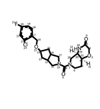 O=C1CO[C@H]2CCN(C(=O)N3CC4CC(OCc5ccc(F)cc5Cl)CC4C3)C[C@H]2N1